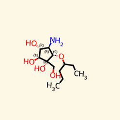 CCCC(CC)O[C@H]1[C@H](N)[C@@H](O)[C@H](O)[C@]1(O)CO